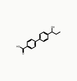 CCC(O)c1ccc(-c2ccc(C(=O)O)cc2)cc1